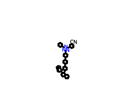 N#Cc1cccc(-c2nc(-c3ccccc3)nc(-c3ccc(-c4ccc(-c5ccc6c(c5)C5(c7ccc8ccccc8c7-6)C6CC7CC(C6)CC5C7)cc4)cc3)n2)c1